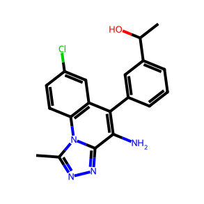 Cc1nnc2c(N)c(-c3cccc(C(C)O)c3)c3cc(Cl)ccc3n12